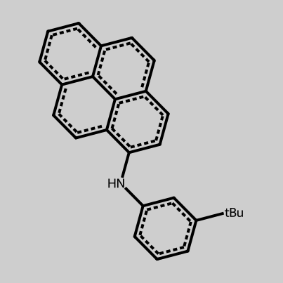 CC(C)(C)c1cccc(Nc2ccc3ccc4cccc5ccc2c3c45)c1